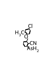 Cc1cc(Cl)ccc1OCc1cccc([AsH2])c1C#N